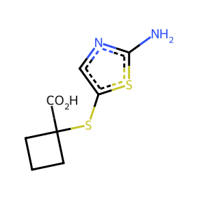 Nc1ncc(SC2(C(=O)O)CCC2)s1